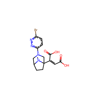 CN1C2CCC1(C(=CC(=O)O)C(=O)O)CN(c1ccc(Br)nn1)C2